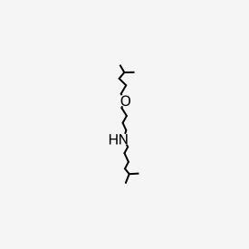 CC(C)CCCCNCCCCOCCCC(C)C